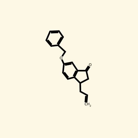 C=CCC1CC(=O)c2cc(OCc3ccccc3)ccc21